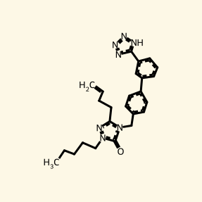 C=CCCc1nn(CCCCC)c(=O)n1Cc1ccc(-c2cccc(-c3nnn[nH]3)c2)cc1